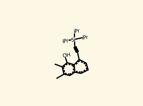 Cc1cc2cccc(C#C[Si](C(C)C)(C(C)C)C(C)C)c2c(O)c1C